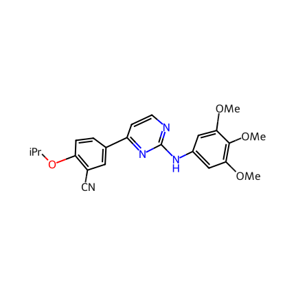 COc1cc(Nc2nccc(-c3ccc(OC(C)C)c(C#N)c3)n2)cc(OC)c1OC